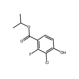 CC(C)OC(=O)c1ccc(O)c(Cl)c1F